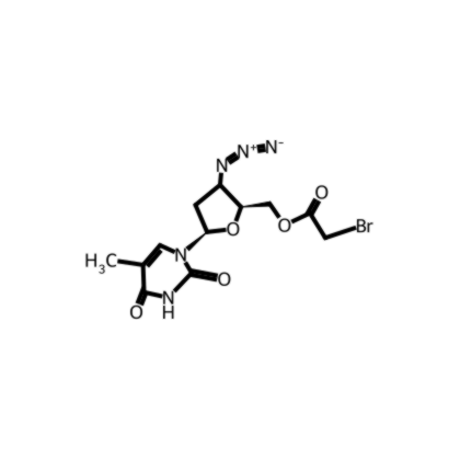 Cc1cn([C@H]2CC(N=[N+]=[N-])[C@@H](COC(=O)CBr)O2)c(=O)[nH]c1=O